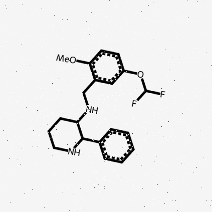 COc1ccc(OC(F)F)cc1CNC1CCCNC1c1ccccc1